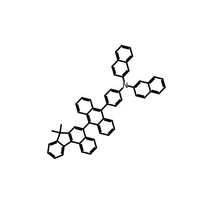 CC1(C)c2ccccc2-c2c1cc(-c1c3ccccc3c(-c3ccc(N(c4ccc5ccccc5c4)c4ccc5ccccc5c4)cc3)c3ccccc13)c1ccccc21